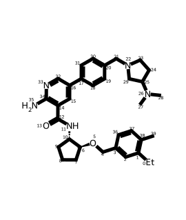 CCc1cc(CO[C@H]2CCC[C@@H]2NC(=O)c2cc(-c3ccc(CN4CCC(N(C)C)C4)cc3)cnc2N)ccc1C